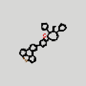 CCC1/C(c2ccccc2)=C\CCc2c(oc3cc(-c4ccc5c(c4)c4cccc6sc7cccc5c7c64)ccc23)C1c1ccccc1